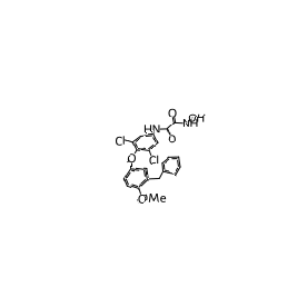 COc1ccc(Oc2c(Cl)cc(NC(=O)C(=O)NO)cc2Cl)cc1Cc1ccccc1